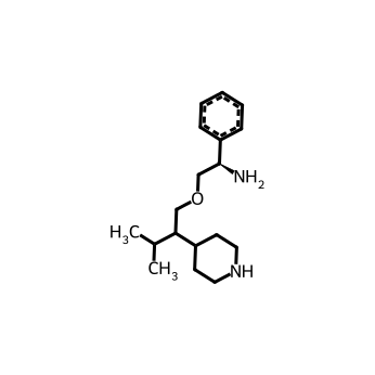 CC(C)C(COC[C@H](N)c1ccccc1)C1CCNCC1